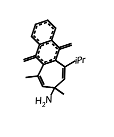 C=c1c2c(c(=C)c3ccccc13)C(C(C)C)=CC(C)(N)C=C2C